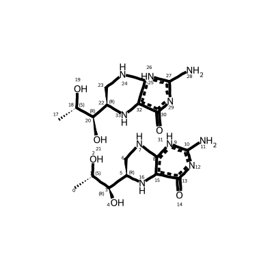 C[C@H](O)[C@H](O)[C@H]1CNc2[nH]c(N)nc(=O)c2N1.C[C@H](O)[C@H](O)[C@H]1CNc2[nH]c(N)nc(=O)c2N1